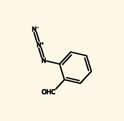 [N-]=[N+]=Nc1ccccc1C=O